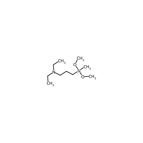 CCN(CC)CCC[Si](C)(OC)OC